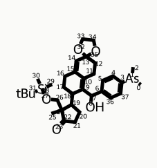 C[As](C)c1ccc(C(O)C2=C3CCC4(C=C3CCC2C2CCC(=O)C2(C)CO[Si](C)(C)C(C)(C)C)OCCO4)cc1